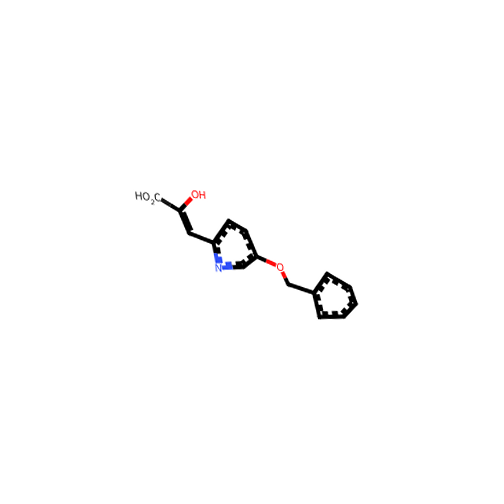 O=C(O)C(O)=Cc1ccc(OCc2ccccc2)cn1